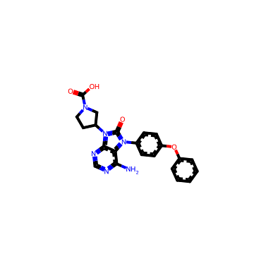 Nc1ncnc2c1n(-c1ccc(Oc3ccccc3)cc1)c(=O)n2C1CCN(C(=O)O)C1